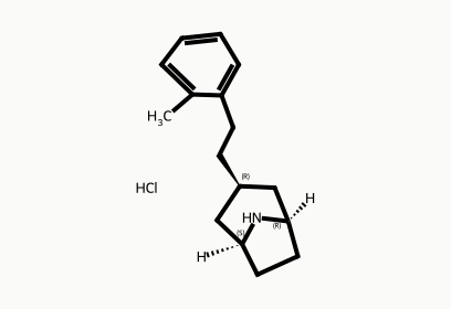 Cc1ccccc1CC[C@H]1C[C@H]2CC[C@@H](C1)N2.Cl